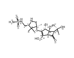 CC[C@H]1C(S[C@]2(C)CN[C@H](CNS(N)(=O)=O)C2(C)C)=C(C(=O)O)N2C(=O)[C@H]([C@](C)(O)C(C)C)[C@@H]12